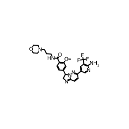 COc1cc(C2CN=C3C=CC(c4cnc(N)c(C(F)(F)F)c4)=NN32)ccc1C(=O)NCCCN1CCOCC1